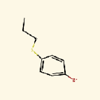 CC[CH]Sc1ccc(Br)cc1